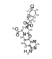 COC(=O)C1CN(S(=O)(=O)c2cc3ccc(Cl)cc3s2)CC(=O)N1Cc1ccc2c(N)ncnc2c1